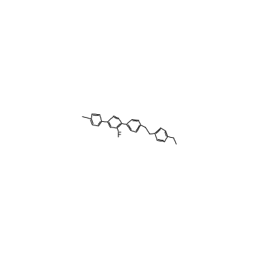 CCc1ccc(CCc2ccc(-c3ccc(-c4ccc(C)cc4)cc3F)cc2)cc1